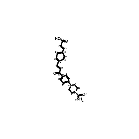 NC(=O)N1CCN(c2ccc(C(=O)/C=C/c3ccc(/C=C/C(=O)O)cc3)cc2)CC1